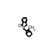 CC1=C(CN2Cc3ccccc3C2=O)C2CCCC1C2